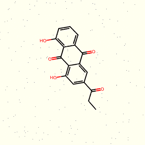 CCC(=O)c1cc(O)c2c(c1)C(=O)c1cccc(O)c1C2=O